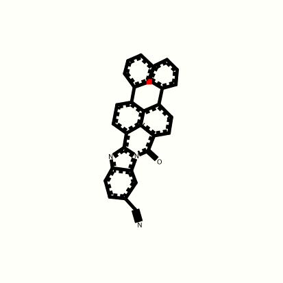 N#Cc1ccc2nc3c4ccc(-c5ccccc5)c5c(-c6ccccc6)ccc(c(=O)n3c2c1)c54